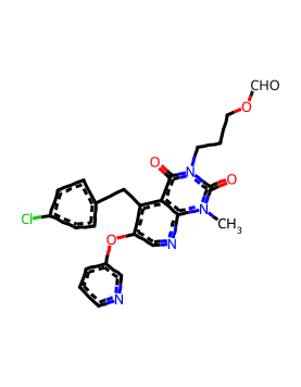 Cn1c(=O)n(CCCOC=O)c(=O)c2c(Cc3ccc(Cl)cc3)c(Oc3cccnc3)cnc21